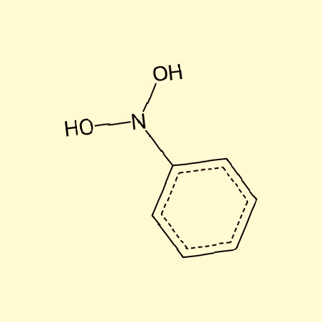 ON(O)c1ccccc1